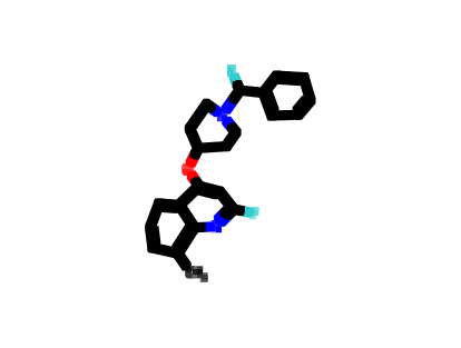 Cc1cccc2c(OC3CCN(C(F)c4ccccc4)CC3)cc(F)nc12